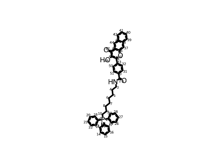 O=C(NCCCCCCCC[PH](c1ccccc1)(c1ccccc1)c1ccccc1)c1ccc(-c2oc3cc4ccccc4cc3c(=O)c2O)cc1